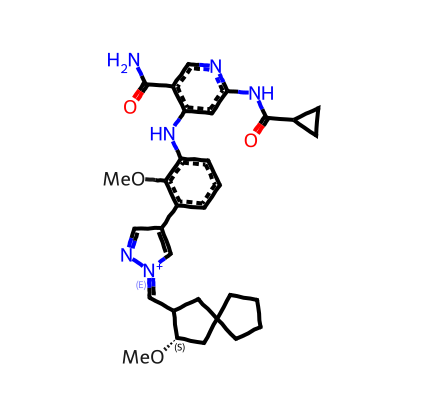 COc1c(Nc2cc(NC(=O)C3CC3)ncc2C(N)=O)cccc1C1=C/[N+](=C\C2CC3(CCCC3)C[C@@H]2OC)N=C1